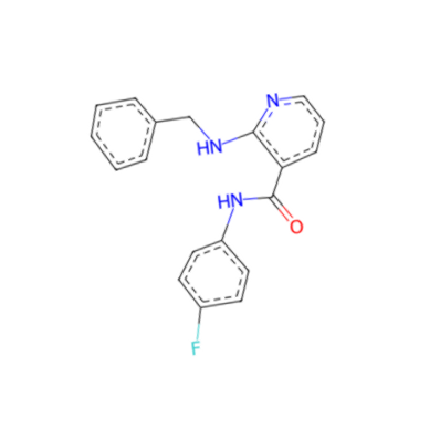 O=C(Nc1ccc(F)cc1)c1cccnc1NCc1ccccc1